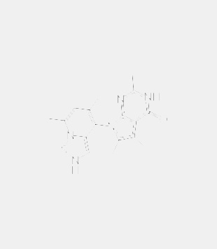 CC1=CC(C)=C(n2c(C)c(C)c3c(=O)[nH]c(C)nc32)C2=CNSN12